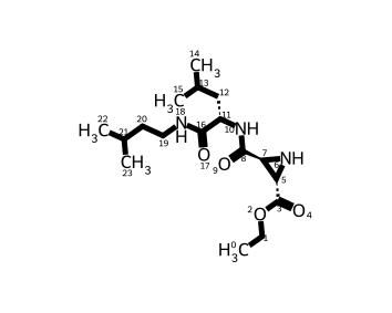 CCOC(=O)[C@H]1N[C@@H]1C(=O)N[C@@H](CC(C)C)C(=O)NCCC(C)C